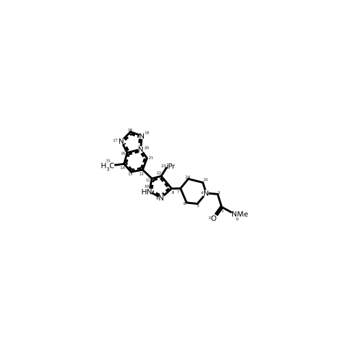 CNC(=O)CN1CCC(c2n[nH]c(-c3cc(C)c4ncnn4c3)c2C(C)C)CC1